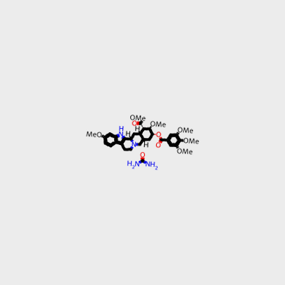 COC(=O)[C@H]1[C@H]2C[C@@H]3c4[nH]c5cc(OC)ccc5c4CCN3C[C@H]2C[C@@H](OC(=O)c2cc(OC)c(OC)c(OC)c2)[C@@H]1OC.NC(N)=O